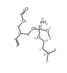 C=CC(COC=O)CO[PH](P)(OC)OCCN(C)C